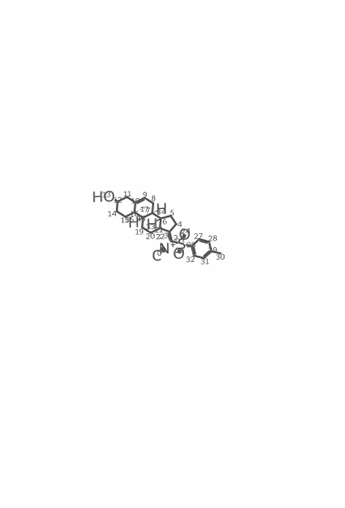 [C-]#[N+]C(=C1CC[C@H]2[C@@H]3CC=C4CC(O)CC[C@]4(C)[C@H]3CC[C@]12C)S(=O)(=O)c1ccc(C)cc1